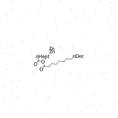 CCCCCCCCCCCCCCCCCC(=O)OC(=O)CCCCCCC.[Zn].[Zn]